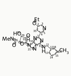 CCOc1cncc(-c2nc(NCc3cccc(C)c3)c3ncn(C4O[C@H](C(=O)NC)C(O)C4O)c3n2)c1